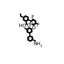 CCc1ccc(-c2nc(Oc3cc(C)cc(-c4cccc(CN)c4)c3)c(F)cc2F)c(C(=O)O)c1